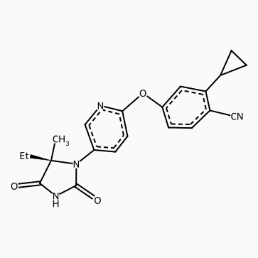 CC[C@]1(C)C(=O)NC(=O)N1c1ccc(Oc2ccc(C#N)c(C3CC3)c2)nc1